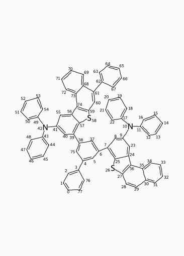 c1ccc(-c2cc(-c3cc(N(c4ccccc4)c4ccccc4)cc4c3sc3ccc5ccccc5c34)cc(-c3cc(N(c4ccccc4)c4ccccc4)cc4c3sc3cc(-c5ccccc5)c5ccccc5c34)c2)cc1